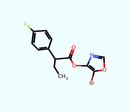 CCC(C(=O)Oc1ncoc1Br)c1ccc(F)cc1